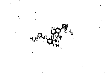 Cc1ccc(OC[C@@H]2CCN2C)cc1C(=O)NC1(c2cc(-c3ccnn3C)cc3ncccc23)CC1